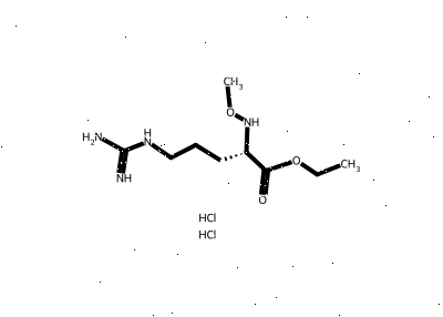 CCOC(=O)[C@H](CCCNC(=N)N)NOC.Cl.Cl